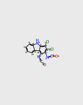 O=C=Nc1c(Cl)c(Cl)c2[nH]c3ccccc3c2c1N=C=O